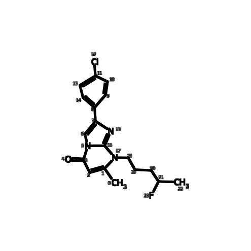 Cc1cc(=O)n2cc(-c3ccc(Cl)cc3)nc2n1CCCC(C)F